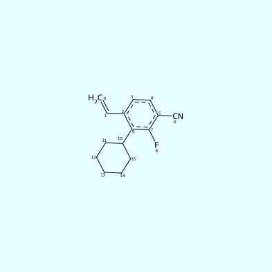 C=Cc1ccc(C#N)c(F)c1C1CCCCC1